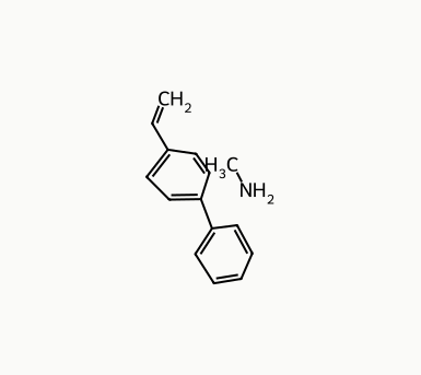 C=Cc1ccc(-c2ccccc2)cc1.CN